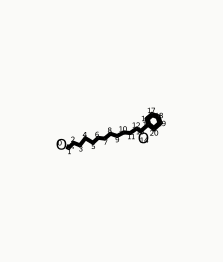 O=[C]CCCCCCCCCCCC(=O)c1ccccc1